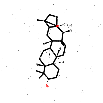 CC1(C)[C@@H](O)CC[C@]2(C)[C@H]3CC=C4[C@@H]5C[C@@]6(C)CC[C@]5(C(=O)O)C6C[C@@]4(C)[C@]3(C)CC[C@@H]12